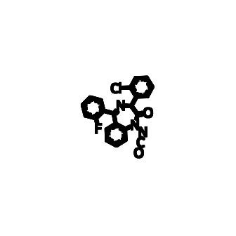 O=C=NN1C(=O)C(c2ccccc2Cl)N=C(c2ccccc2F)c2ccccc21